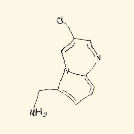 NCc1ccc2ncc(Cl)cn12